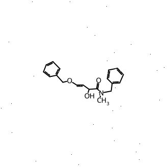 CN(Cc1ccccc1)C(=O)C(O)/C=C/OCc1ccccc1